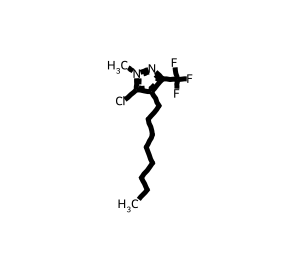 CCCCCCCCc1c(C(F)(F)F)nn(C)c1Cl